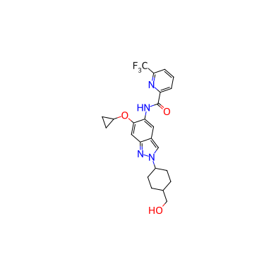 O=C(Nc1cc2cn(C3CCC(CO)CC3)nc2cc1OC1CC1)c1cccc(C(F)(F)F)n1